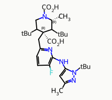 Cc1cc(Nc2nc(C[C@@]3(C(=O)O)C(C(C)(C)C)CN(C(=O)O)[C@H](C)C3C(C)(C)C)ccc2F)n(C(C)(C)C)n1